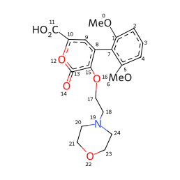 COc1cccc(OC)c1-c1cc(C(=O)O)oc(=O)c1OCCN1CCOCC1